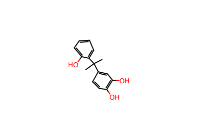 CC(C)(c1ccc(O)c(O)c1)c1ccccc1O